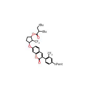 CCCCCc1ccc(-c2cc3ccc(OC4CCC(OC(=O)C(CC(C)(C)C)C(C)(C)C)C4C(F)(F)F)cc3oc2=O)c(C(F)(F)F)c1